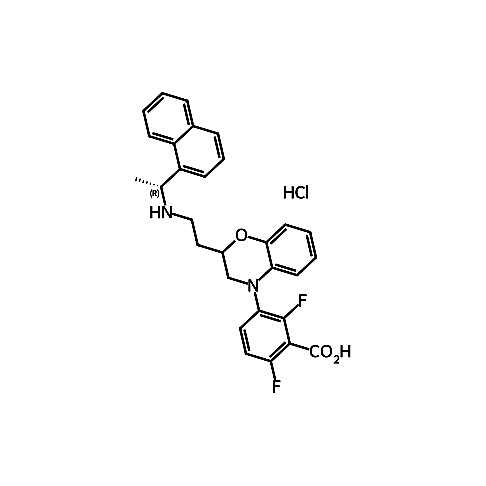 C[C@@H](NCCC1CN(c2ccc(F)c(C(=O)O)c2F)c2ccccc2O1)c1cccc2ccccc12.Cl